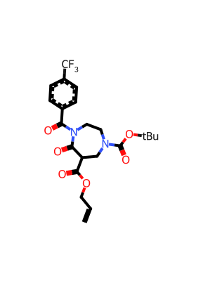 C=CCOC(=O)C1CN(C(=O)OC(C)(C)C)CCN(C(=O)c2ccc(C(F)(F)F)cc2)C1=O